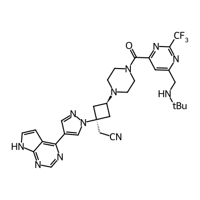 CC(C)(C)NCc1cc(C(=O)N2CCN([C@H]3C[C@@](CC#N)(n4cc(-c5ncnc6[nH]ccc56)cn4)C3)CC2)nc(C(F)(F)F)n1